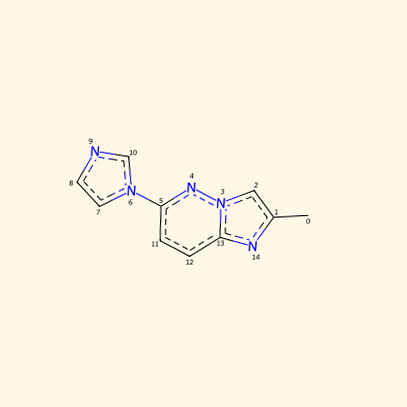 Cc1cn2nc(-n3ccnc3)ccc2n1